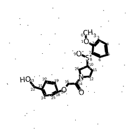 COc1ccccc1[S+]([O-])C1CCN(C(=O)COc2ccc(CO)cc2)C1